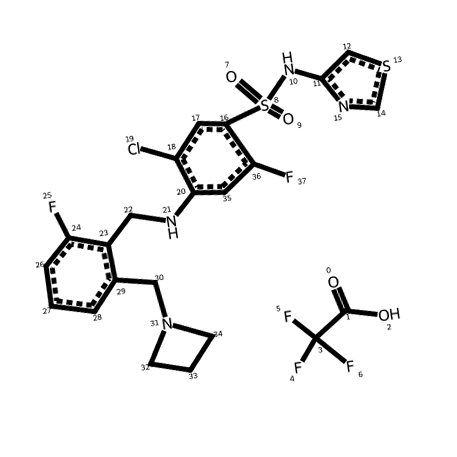 O=C(O)C(F)(F)F.O=S(=O)(Nc1cscn1)c1cc(Cl)c(NCc2c(F)cccc2CN2CCC2)cc1F